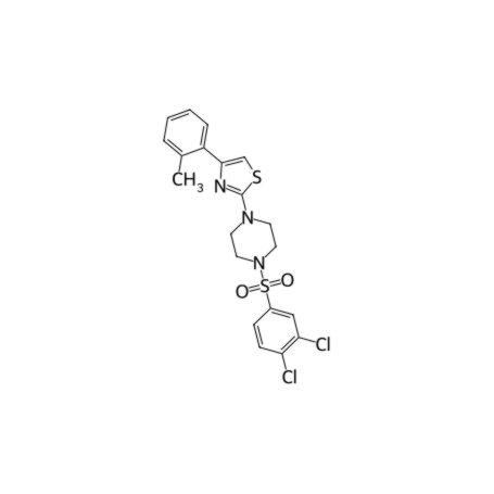 Cc1ccccc1-c1csc(N2CCN(S(=O)(=O)c3ccc(Cl)c(Cl)c3)CC2)n1